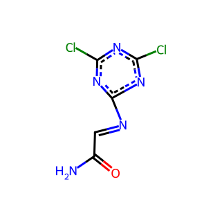 NC(=O)C=Nc1nc(Cl)nc(Cl)n1